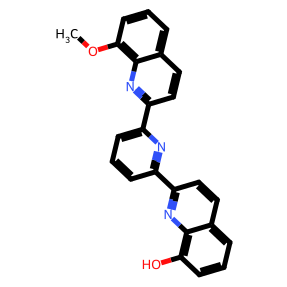 COc1cccc2ccc(-c3cccc(-c4ccc5cccc(O)c5n4)n3)nc12